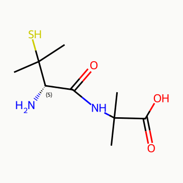 CC(C)(NC(=O)[C@H](N)C(C)(C)S)C(=O)O